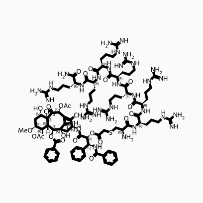 CO[C@@H]1C[C@H](O)[C@@]2(C)C(=O)[C@H](OC(C)=O)C3=C(C)[C@@H](OC(=O)[C@H](OC(=O)CSC[C@H](N)C(=O)N[C@H](CCCNC(=N)N)C(=O)N[C@H](CCCNC(=N)N)C(=O)N[C@H](CCCNC(=N)N)C(=O)N[C@H](CCCNC(=N)N)C(=O)N[C@H](CCCNC(=N)N)C(=O)N[C@H](CCCNC(=N)N)C(=O)N[C@H](CCCNC(=N)N)C(N)=O)[C@@H](NC(=O)c4ccccc4)c4ccccc4)C[C@@](O)([C@@H](OC(=O)c4ccccc4)[C@@H]2[C@H]1OC(C)=O)C3(C)C